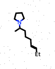 CCC=CCCCC(C)N1CCCC1